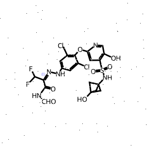 O=CNC(=O)/C(=N\Nc1cc(Cl)c(Oc2cc(S(=O)(=O)NC34CC(O)(C3)C4)c(O)cn2)c(Cl)c1)C(F)F